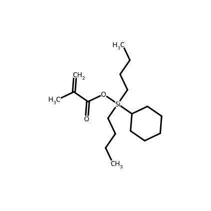 C=C(C)C(=O)O[Si](CCCC)(CCCC)C1CCCCC1